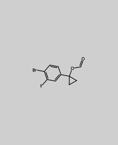 O=COC1(c2ccc(Br)c(F)c2)CC1